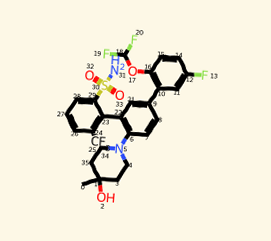 CC1(O)CCN(c2ccc(-c3cc(F)ccc3OC(F)F)cc2-c2c(C(F)(F)F)cccc2S(N)(=O)=O)CC1